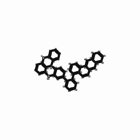 c1ccc2c(c1)Oc1cccc3c1B2c1ccc(-c2ccccc2-c2cccc4c2ccc2cc5ccccc5cc24)cc1O3